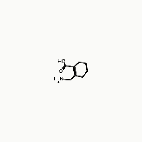 NCC1=C(C(=O)O)CCCC1